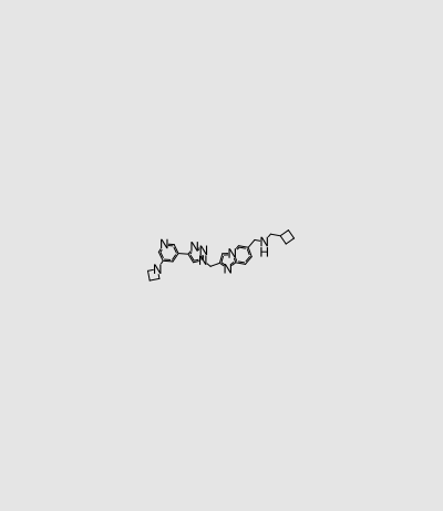 c1cc2nc(Cn3cc(-c4cncc(N5CCC5)c4)nn3)cn2cc1CNCC1CCC1